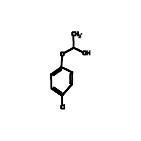 [CH2]C(O)Oc1ccc(Cl)cc1